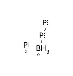 B.[P].[P].[P]